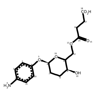 Nc1ccc(O[C@@H]2CC[C@H](O)C(COC(=O)CCC(=O)O)O2)cc1